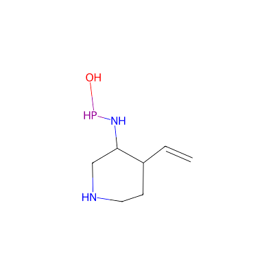 C=CC1CCNCC1NPO